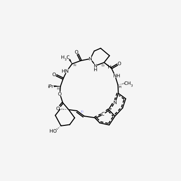 CC(C)[C@@H]1OC(=O)[C@]2(/C=C/c3ccc4ccc(nc4c3)[C@@H](C)NC(=O)[C@@H]3CCCN(N3)C(=O)[C@H](C)NC1=O)CC[C@@H](O)CC2